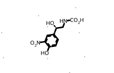 O=C(O)NC[C@H](O)c1ccc(O)c([N+](=O)[O-])c1